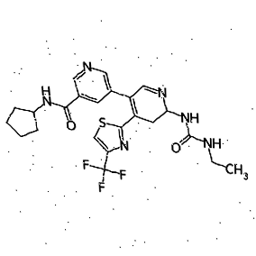 CCNC(=O)NC1CC(c2nc(C(F)(F)F)cs2)=C(c2cncc(C(=O)NC3CCCC3)c2)C=N1